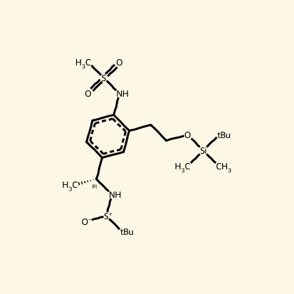 C[C@@H](N[S+]([O-])C(C)(C)C)c1ccc(NS(C)(=O)=O)c(CCO[Si](C)(C)C(C)(C)C)c1